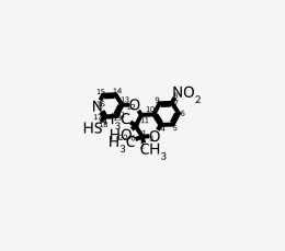 CC1(C)Oc2ccc([N+](=O)[O-])cc2C(Oc2ccnc(S)c2)C1(C)O